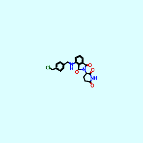 O=C1CCC(N2C(=O)c3cccc(NCc4ccc(CCl)cc4)c3C2=O)C(=O)N1